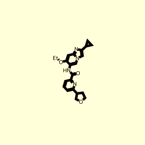 CCOc1cc2nc(C3CC3)cn2cc1NC(=O)c1cccc(C2CCOC2)n1